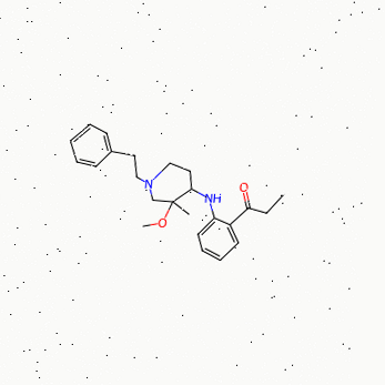 CCC(=O)c1ccccc1NC1CCN(CCc2ccccc2)CC1(C)OC